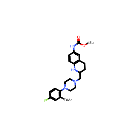 COc1cc(F)ccc1N1CCN(CC2CCc3cc(NC(=O)OC(C)(C)C)ccc3N2)CC1